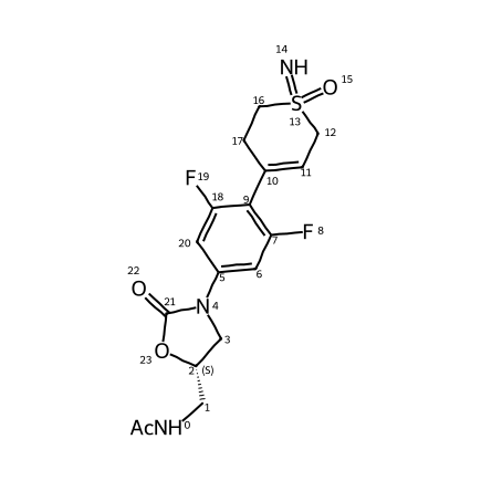 CC(=O)NC[C@H]1CN(c2cc(F)c(C3=CCS(=N)(=O)CC3)c(F)c2)C(=O)O1